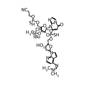 CN(C)/C=N\c1ccnc2c1ccn2[C@H]1C[C@H](O)[C@@H](COP(=O)(S)O[C@@H]2C(O[Si](C)(C)C(C)(C)C)[C@@H](CO[PH](=S)OCCC#N)O[C@H]2n2ccc(=O)n3ccnc23)O1